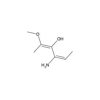 C/C=C(N)\C(O)=C(/C)OC